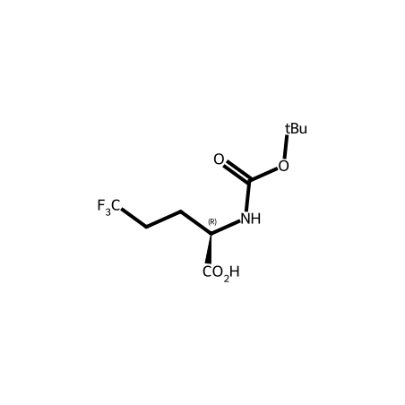 CC(C)(C)OC(=O)N[C@H](CCC(F)(F)F)C(=O)O